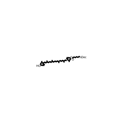 CCCCCCCCCCCCCCCC(=O)O[C@H]1C=C(C)[C@H](/C=C/C(C)=C/C=C/C(C)=C/C=C/C=C(C)/C=C/C=C(C)/C=C/C2=C(C)C[C@@H](O)CC2(C)C)C(C)(C)C1